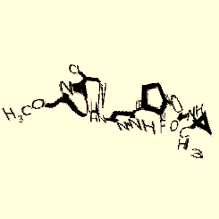 COCc1cn2c(Nc3cc([C@H]4CC[C@@H](OC(=O)NC5(C)CC5)[C@@H]4F)[nH]n3)ncc(Cl)c2n1